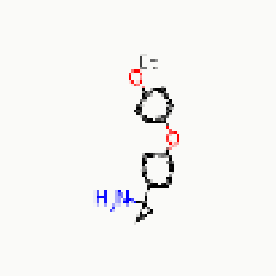 CCOc1ccc(Oc2ccc(C3(N)CC3)cc2)cc1